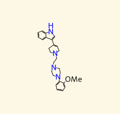 COc1ccccc1N1CCN(CCN2CC=C(c3c[nH]c4ccccc34)CC2)CC1